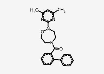 Cc1cc(C)nc(N2CCN(C(=O)c3ccccc3-c3ccccc3)CCO2)n1